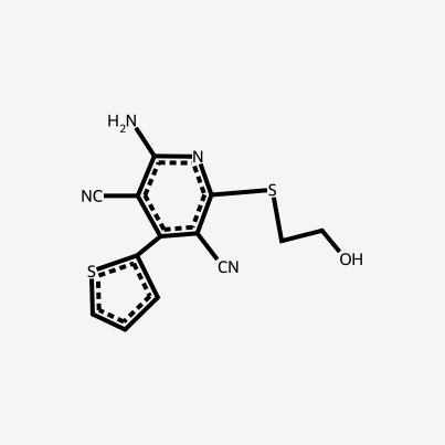 N#Cc1c(N)nc(SCCO)c(C#N)c1-c1cccs1